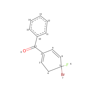 O=C(C1=CCC(F)(Br)C=C1)c1ccccc1